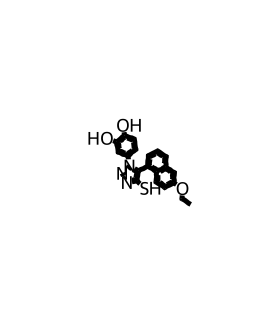 CCOc1ccc2c(-c3c(S)nnn3-c3ccc(O)c(O)c3)cccc2c1